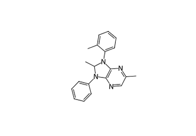 Cc1cnc2c(n1)N(c1ccccc1C)C(C)N2c1ccccc1